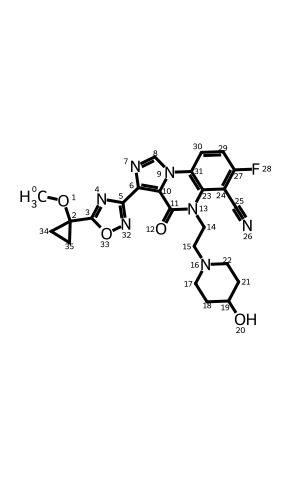 COC1(c2nc(-c3ncn4c3c(=O)n(CCN3CCC(O)CC3)c3c(C#N)c(F)ccc34)no2)CC1